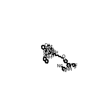 C[C@@H](C(=O)N[C@H](C(=O)N1C[C@@H](NC(=O)CCCCCCC(=O)N2CCC(c3cc(Nc4cc(C#N)ccn4)nc(N4CCC(F)(F)C4)c3)CC2)C[C@H]1C(=O)N[C@@H]1CCCc2ccccc21)C1CCCCC1)N(C)C(=O)OC(C)(C)C